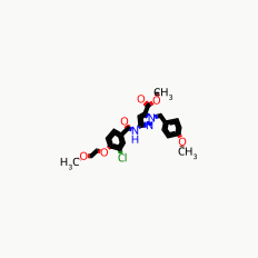 COCCOc1ccc(C(=O)Nc2cc(C(=O)OC)n(Cc3ccc(OC)cc3)n2)cc1Cl